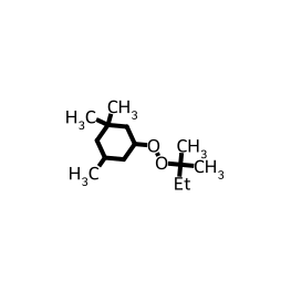 CCC(C)(C)OOC1CC(C)CC(C)(C)C1